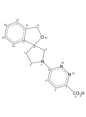 O=C(O)c1ccc(N2CCC3(C2)OCc2ccccc23)nn1